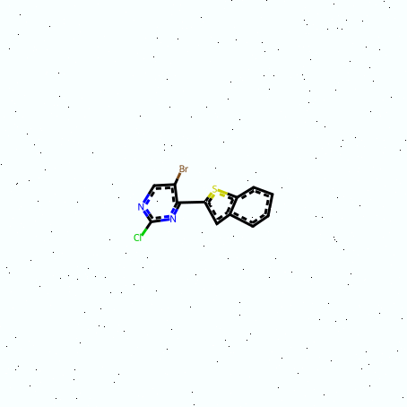 Clc1ncc(Br)c(-c2cc3ccccc3s2)n1